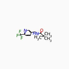 CC(C)(C)C(=O)NCc1ccc(C(F)(F)F)nc1